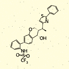 C[C@H](c1csc(-c2ccccc2)n1)[C@H]1COc2cc(-c3ccccc3NS(=O)(=O)C(F)(F)F)ccc2[C@H]1O